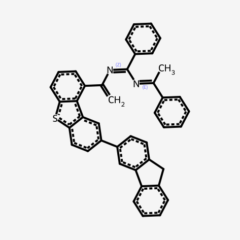 C=C(/N=C(\N=C(/C)c1ccccc1)c1ccccc1)c1cccc2sc3ccc(-c4ccc5c(c4)-c4ccccc4C5)cc3c12